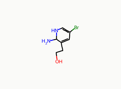 NC1NC=C(Br)C=C1CCO